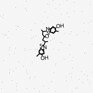 Cc1cc2sc(C(C)CC(=O)CC(C)c3nc4cc(O)c(C)cc4s3)nc2cc1O